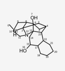 CNC12CC3CC4(O)C1CCCN2C41CC(O)C2CCCCC2C31